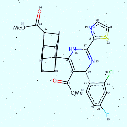 COC(=O)C1=C(C23C4C5C2C2C3C4C52C(=O)OC)NC(c2nccs2)=N[C@@H]1c1ccc(F)cc1Cl